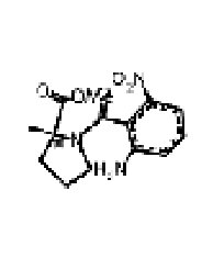 COC(=O)[C@@]1(C)CCCN1C(=O)c1c(N)cccc1[N+](=O)[O-]